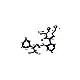 CCC/C=C(\C(=O)N(C)CC)c1ccccc1CO/N=C(/c1ccccc1)C(F)F